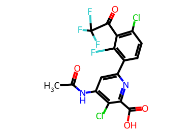 CC(=O)Nc1cc(-c2ccc(Cl)c(C(=O)C(F)(F)F)c2F)nc(C(=O)O)c1Cl